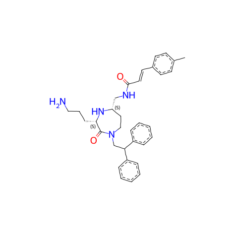 Cc1ccc(C=CC(=O)NC[C@@H]2CCN(CC(c3ccccc3)c3ccccc3)C(=O)[C@H](CCCN)N2)cc1